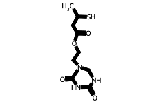 CC(S)CC(=O)OCCN1CNC(=O)NC1=O